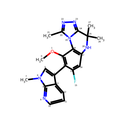 COc1c(-c2cn(C)c3ncccc23)c(F)cc2c1-n1c(C)nnc1C(C)(C)N2